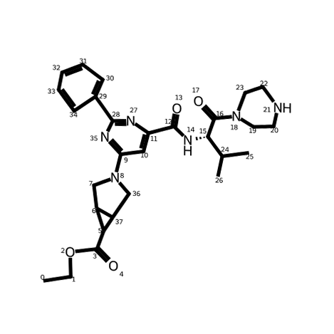 CCOC(=O)C1C2CN(c3cc(C(=O)N[C@H](C(=O)N4CCNCC4)C(C)C)nc(-c4ccccc4)n3)CC21